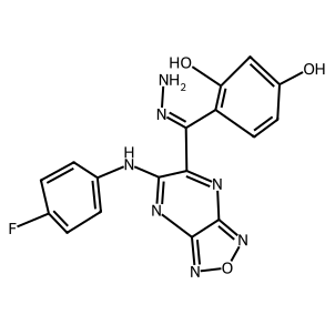 NN=C(c1ccc(O)cc1O)c1nc2nonc2nc1Nc1ccc(F)cc1